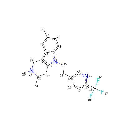 Cc1ccc2c(c1)c1c(n2CCc2ccc(C(F)(F)F)nc2)CC(C)N(C)C1